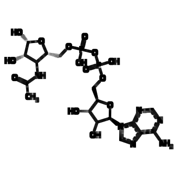 CC(=O)NC1[C@@H](COP(=O)(O)OP(=O)(O)OC[C@H]2O[C@@H](n3cnc4c(N)ncnc43)C(O)C2O)O[C@@H](O)[C@H]1O